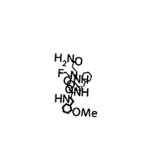 COc1cccc2[nH]c(C(=O)N[C@@H](CC3CCCCC3)C(=O)NN(CCC(N)=O)C(=O)CF)cc12